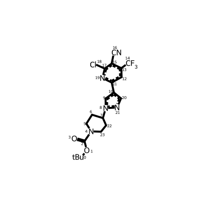 CC(C)(C)OC(=O)N1CCC(n2cc(-c3cc(C(F)(F)F)c(C#N)c(Cl)n3)cn2)CC1